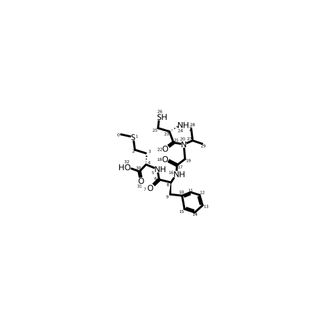 CSCC[C@H](NC(=O)[C@H](Cc1ccccc1)NC(=O)CN(C(=O)[C@@H](N)CS)C(C)C)C(=O)O